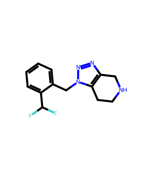 FC(F)c1ccccc1Cn1nnc2c1CCNC2